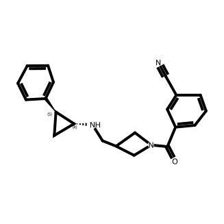 N#Cc1cccc(C(=O)N2CC(CN[C@@H]3C[C@H]3c3ccccc3)C2)c1